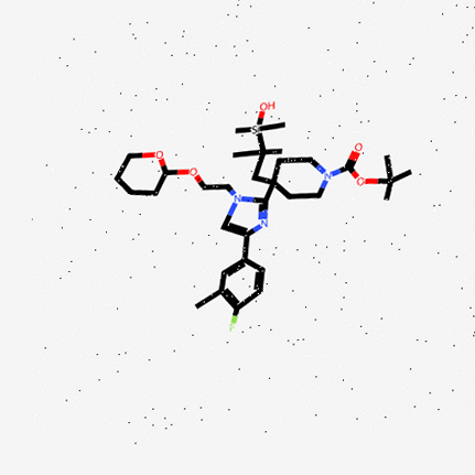 Cc1cc(-c2cn(CCOC3CCCCO3)c(C3(CC(C)(C)[Si](C)(C)O)CCN(C(=O)OC(C)(C)C)CC3)n2)ccc1F